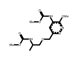 COc1nnc(COCC(C)NC(=O)OC(C)(C)C)cc1NC(=O)OC(C)(C)C